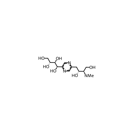 CN[C@H](CO)[C@H](O)Cc1cnc([C@@H](O)[C@H](O)[C@H](O)CO)cn1